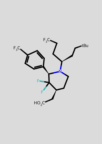 CC(C)(C)CC[C@H](CCC(F)(F)F)N1CC[C@@H](CC(=O)O)C(F)(F)[C@H]1c1ccc(C(F)(F)F)cc1